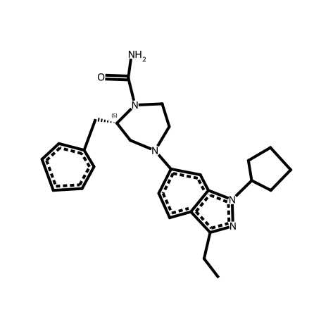 CCc1nn(C2CCCC2)c2cc(N3CCN(C(N)=O)[C@@H](Cc4ccccc4)C3)ccc12